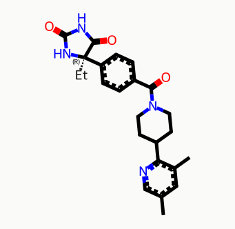 CC[C@]1(c2ccc(C(=O)N3CCC(c4ncc(C)cc4C)CC3)cc2)NC(=O)NC1=O